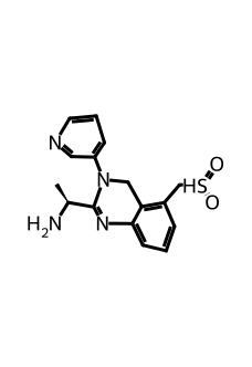 C[C@H](N)C1=Nc2cccc(C[SH](=O)=O)c2CN1c1cccnc1